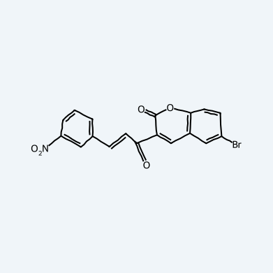 O=C(C=Cc1cccc([N+](=O)[O-])c1)c1cc2cc(Br)ccc2oc1=O